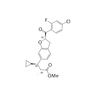 COC(=O)[C@H](C)[C@H](c1ccc2c(c1)O[C@@H](C(=O)c1ccc(Cl)cc1F)C2)C1CC1